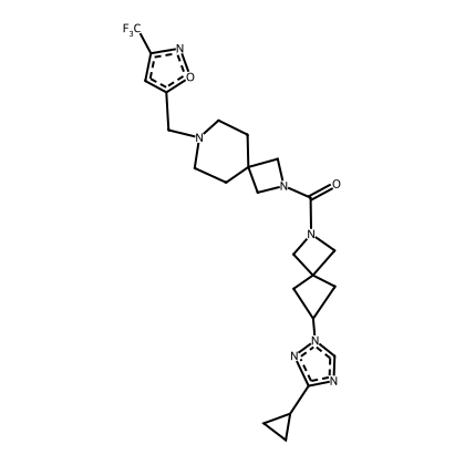 O=C(N1CC2(CCN(Cc3cc(C(F)(F)F)no3)CC2)C1)N1CC2(CC(n3cnc(C4CC4)n3)C2)C1